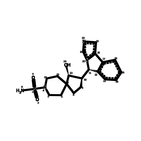 NS(=O)(=O)N1CCC2(CC[C@H]([C@H]3c4ccccc4-c4cncn43)[C@H]2O)CC1